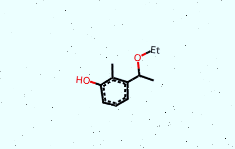 CCOC(C)c1cccc(O)c1C